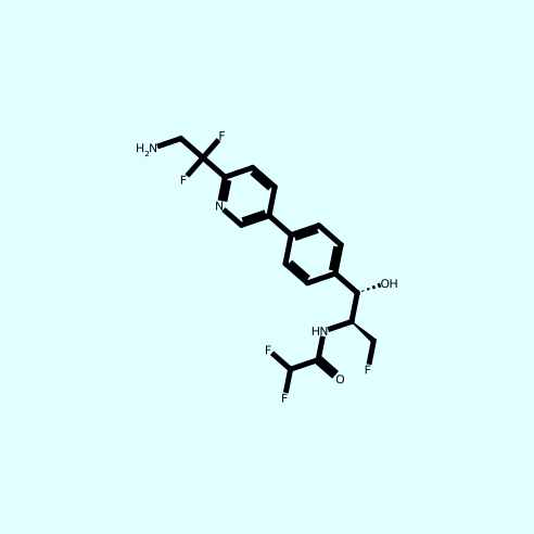 NCC(F)(F)c1ccc(-c2ccc([C@H](O)[C@@H](CF)NC(=O)C(F)F)cc2)cn1